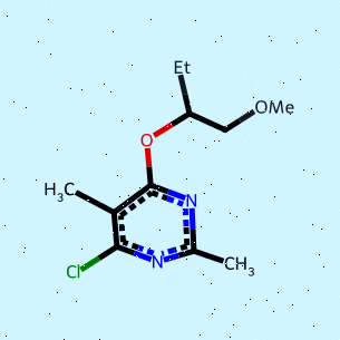 CCC(COC)Oc1nc(C)nc(Cl)c1C